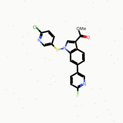 COC(=O)c1cn(Sc2ccc(Cl)nc2)c2cc(-c3ccc(F)nc3)ccc12